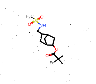 CCC(C)(C)C(=O)OC1CC2CC1CC2CNS(=O)(=O)C(F)(F)F